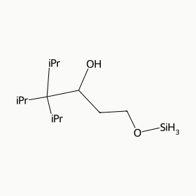 CC(C)C(C(C)C)(C(C)C)C(O)CCO[SiH3]